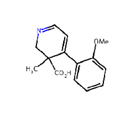 COc1ccccc1C1=CC=NCC1(C)C(=O)O